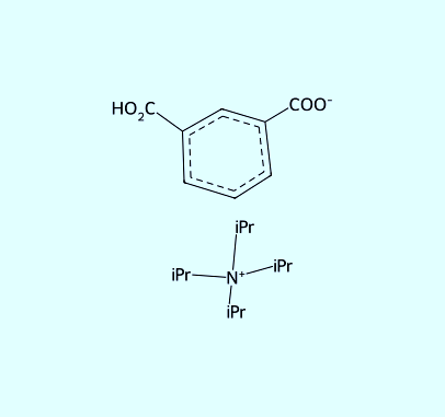 CC(C)[N+](C(C)C)(C(C)C)C(C)C.O=C([O-])c1cccc(C(=O)O)c1